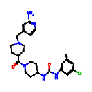 Cc1cc(Cl)cc(NC(=O)NC2CCN(C(=O)C3CCN(Cc4ccnc(N)c4)CC3)CC2)c1